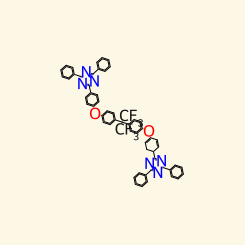 FC(F)(F)C(c1ccc(OC2=CCC(c3nc(-c4ccccc4)nc(-c4ccccc4)n3)C=C2)cc1)(c1ccc(Oc2ccc(-c3nc(-c4ccccc4)nc(-c4ccccc4)n3)cc2)cc1)C(F)(F)F